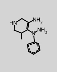 CC1CNCC(N)=C1N(N)c1ccccc1